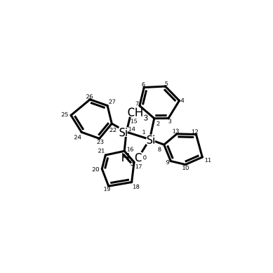 C[Si](c1ccccc1)(c1ccccc1)[Si](C)(c1ccccc1)c1ccccc1